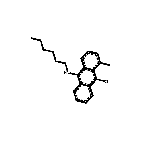 CCCCCCNc1c2ccccc2c(Cl)c2c(C)cccc12